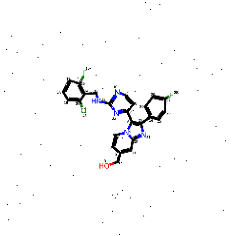 OCc1ccn2c(-c3ccnc(NCc4c(F)cccc4Cl)n3)c(-c3ccc(F)cc3)nc2c1